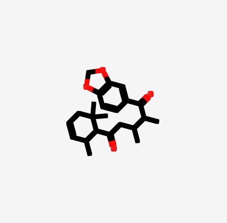 CC1C=CCC(C)(C)C1C(=O)CC(C)C(C)C(=O)c1ccc2c(c1)OCO2